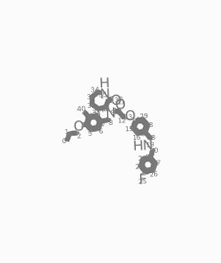 CCCOc1ccc(CN(C(=O)COc2ccc(CNCc3ccc(F)cc3)cc2)[C@H]2CCCCNC2=O)cc1C